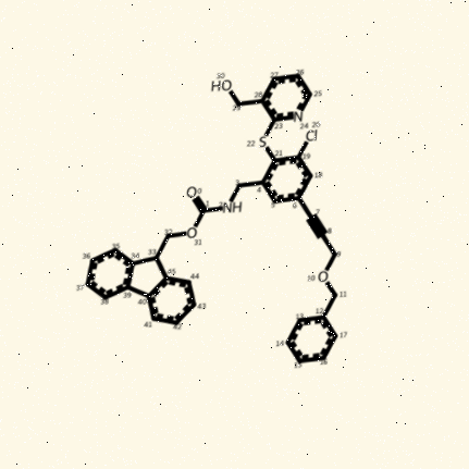 O=C(NCc1cc(C#CCOCc2ccccc2)cc(Cl)c1Sc1ncccc1CO)OCC1c2ccccc2-c2ccccc21